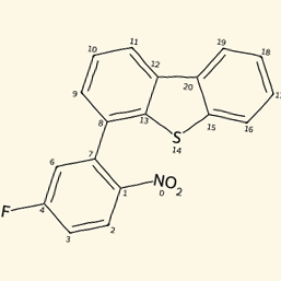 O=[N+]([O-])c1ccc(F)cc1-c1cccc2c1sc1ccccc12